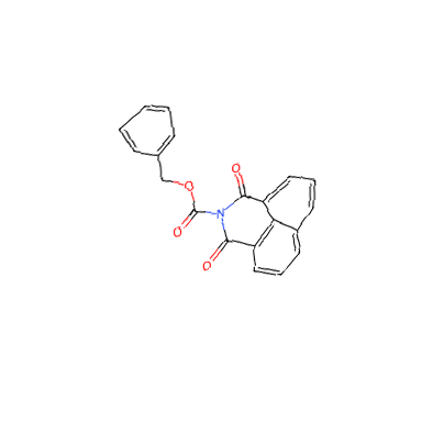 O=C(OCc1ccccc1)N1C(=O)c2cccc3cccc(c23)C1=O